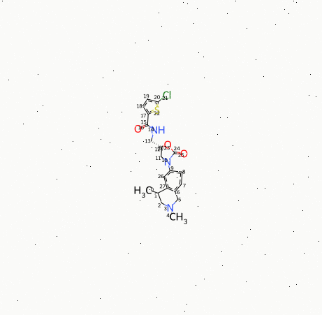 CC1CN(C)Cc2ccc(N3C[C@H](CNC(=O)c4ccc(Cl)s4)OC3=O)cc21